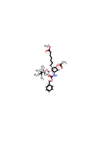 COC(=O)CCCCCC[C@@H]1[C@@H](CO[Si](C)(C)C(C)(C)C)[C@H](NC(=O)OCc2ccccc2)C[C@@H]1OC(C)=O